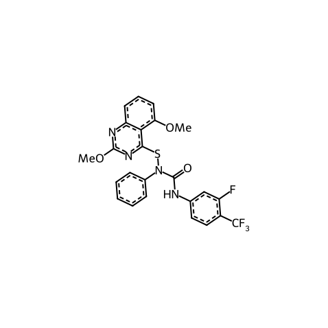 COc1nc(SN(C(=O)Nc2ccc(C(F)(F)F)c(F)c2)c2ccccc2)c2c(OC)cccc2n1